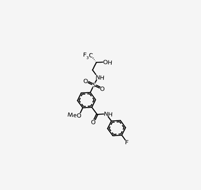 COc1ccc(S(=O)(=O)NC[C@@H](O)C(F)(F)F)cc1C(=O)Nc1ccc(F)cc1